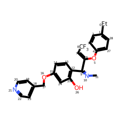 CCc1ccc(OC(=C\C(F)(F)F)/C(=N\C)c2ccc(OCc3ccncc3)cc2O)cc1